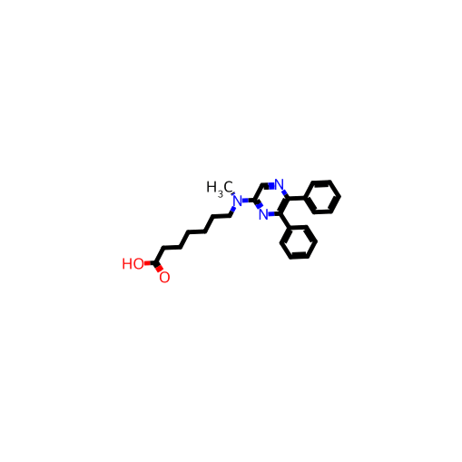 CN(CCCCCCC(=O)O)c1cnc(-c2ccccc2)c(-c2ccccc2)n1